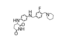 O=C1CCC(Nc2ccc(NCc3ccc(CN4CCCCC4)c(F)c3)cc2)C(=O)N1